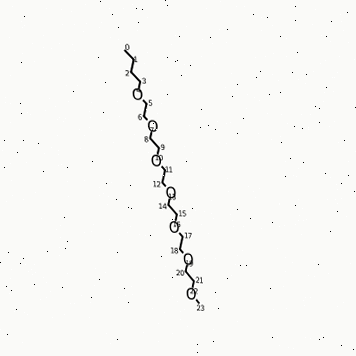 CCCCOCCOCCOCCOCCOCCOCCOC